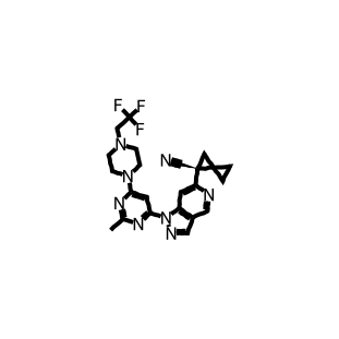 Cc1nc(N2CCN(CC(F)(F)F)CC2)cc(-n2ncc3cnc([C@]4(C#N)CC45CC5)cc32)n1